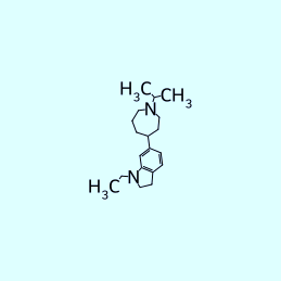 CCN1CCc2ccc(C3CCCN(C(C)C)CC3)cc21